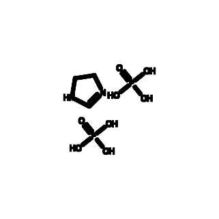 C1=NCCN1.O=P(O)(O)O.O=P(O)(O)O